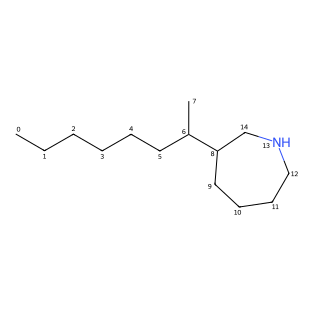 CCCCCCC(C)C1CCCCNC1